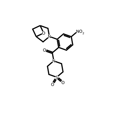 O=C(c1ccc([N+](=O)[O-])cc1N1CC2CC(C1)O2)N1CCS(=O)(=O)CC1